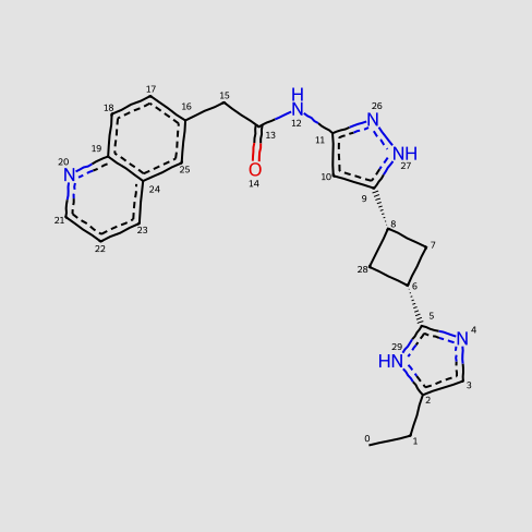 CCc1cnc([C@H]2C[C@@H](c3cc(NC(=O)Cc4ccc5ncccc5c4)n[nH]3)C2)[nH]1